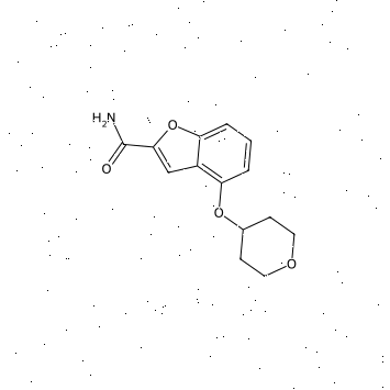 NC(=O)c1cc2c(OC3CCOCC3)cccc2o1